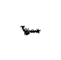 CC(C)CNC[C@H]1CN(CCOCCCC(C)(C)C)CCO1